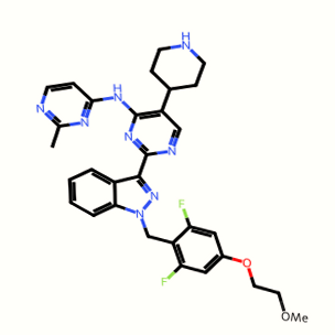 COCCOc1cc(F)c(Cn2nc(-c3ncc(C4CCNCC4)c(Nc4ccnc(C)n4)n3)c3ccccc32)c(F)c1